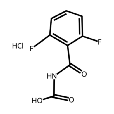 Cl.O=C(O)NC(=O)c1c(F)cccc1F